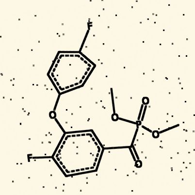 COP(=O)(OC)C(=O)c1ccc(F)c(Oc2ccc(F)cc2)c1